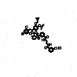 O=Cc1cccc(C(=O)NCCNC(=O)c2cccc(S(=O)(=O)N3CCS[C@H]3C(=O)O[C@@H](Cc3c(Cl)c[n+]([O-])cc3Cl)c3ccc(OC(F)F)c(OCC4CC4)c3)c2)c1